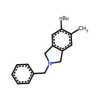 CCCCc1cc2c(cc1C)CN(Cc1ccccc1)C2